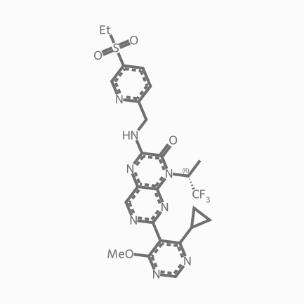 CCS(=O)(=O)c1ccc(CNc2nc3cnc(-c4c(OC)ncnc4C4CC4)nc3n([C@H](C)C(F)(F)F)c2=O)nc1